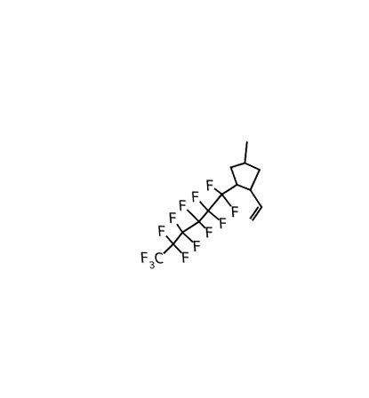 C=CC1CC(C)CC1C(F)(F)C(F)(F)C(F)(F)C(F)(F)C(F)(F)C(F)(F)F